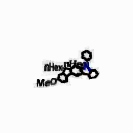 CCCCCCC1(CCCCCC)c2cc(OC)ccc2-c2cc3c4ccccc4n(-c4ccccc4)c3cc21